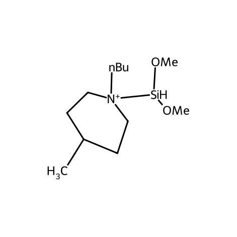 CCCC[N+]1([SiH](OC)OC)CCC(C)CC1